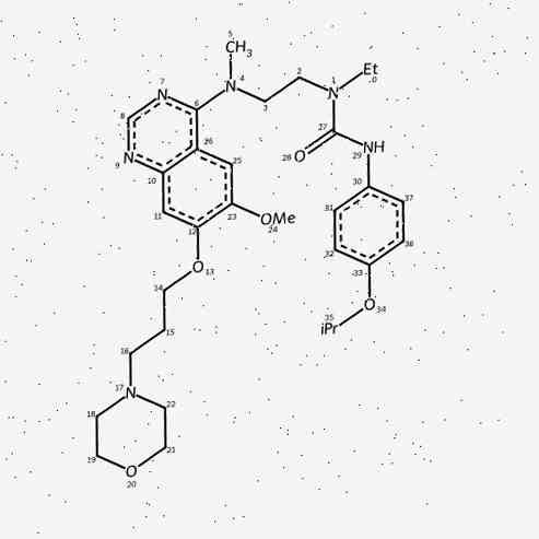 CCN(CCN(C)c1ncnc2cc(OCCCN3CCOCC3)c(OC)cc12)C(=O)Nc1ccc(OC(C)C)cc1